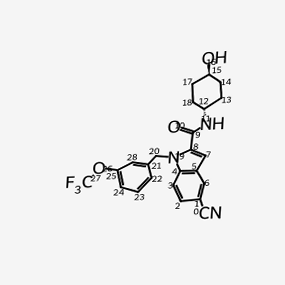 N#Cc1ccc2c(c1)cc(C(=O)N[C@H]1CC[C@H](O)CC1)n2Cc1cccc(OC(F)(F)F)c1